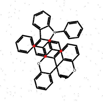 c1ccc(-c2cccc3c2Oc2ccccc2C32c3ccccc3Oc3cccc(-c4cccc5c6ccccc6n(-c6ccccc6)c45)c32)cc1